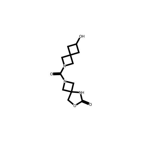 O=C1NC2(CO1)CN(C(=O)N1CC3(CC(O)C3)C1)C2